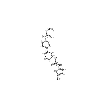 C=CC(=O)Nc1ccc(-c2cccc(CC(=O)Nc3ncc(C(C)C)s3)c2)nn1